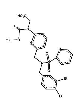 CCc1ccc(CN(Cc2cccc(N(CC(=O)O)C(=O)OC(C)(C)C)n2)S(=O)(=O)c2ccccn2)cc1CC